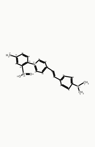 CN(C)c1ccc(/C=C/c2cc[n+](-c3ccc(N)cc3[N+](=O)[O-])cc2)cc1